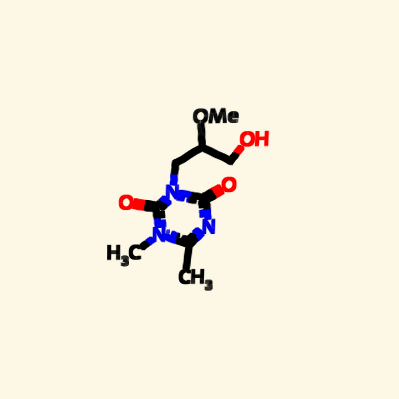 COC(CO)Cn1c(=O)nc(C)n(C)c1=O